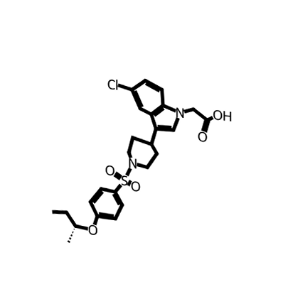 CC[C@@H](C)Oc1ccc(S(=O)(=O)N2CCC(c3cn(CC(=O)O)c4ccc(Cl)cc34)CC2)cc1